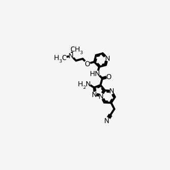 CN(C)CCOc1ccncc1NC(=O)c1c(N)nn2cc(CC#N)cnc12